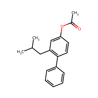 CC(=O)Oc1ccc(-c2ccccc2)c(CC(C)C)c1